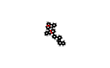 c1ccc(-c2ccccc2N(c2ccc(-c3cccc(-c4cccc5c4oc4ccc6ccccc6c45)c3)cc2)c2ccccc2-c2cccc3ccccc23)cc1